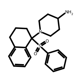 NC1CCN(C2(S(=O)(=O)c3ccccc3)CCCc3ccccc32)CC1